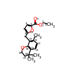 CCOC(=O)c1ccc(Cc2c(C)ccc3c2OCCC3(C)C)o1